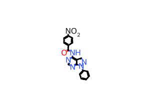 O=C(Nc1ncnc2c1cnn2-c1ccccc1)c1ccc([N+](=O)[O-])cc1